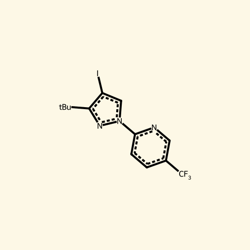 CC(C)(C)c1nn(-c2ccc(C(F)(F)F)cn2)cc1I